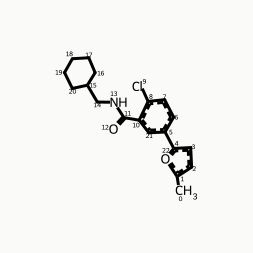 Cc1ccc(-c2ccc(Cl)c(C(=O)NCC3CCCCC3)c2)o1